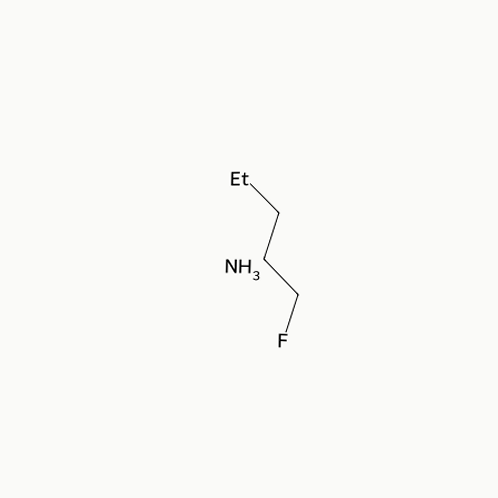 CCCCCF.N